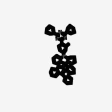 Cc1cc(N2c3ccccc3C(c3ccccc3)(c3cc4ccccc4c4c3oc3ccccc34)c3ccccc32)ccc1-c1nc(-c2ccccc2)nc(-c2ccccc2)n1